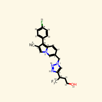 N#Cc1cn2cc(Cn3cc(C(CCO)C(F)(F)F)nn3)ccc2c1-c1ccc(F)cc1